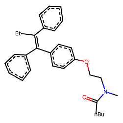 CCCCC(=O)N(C)CCOc1ccc(/C(=C(/CC)c2ccccc2)c2ccccc2)cc1